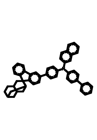 c1ccc(-c2ccc(N(c3ccc(-c4ccc5c(c4)-c4ccccc4C54CC5CCC6CC5CC4C6)cc3)c3ccc4ccccc4c3)cc2)cc1